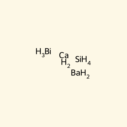 [BaH2].[BiH3].[CaH2].[SiH4]